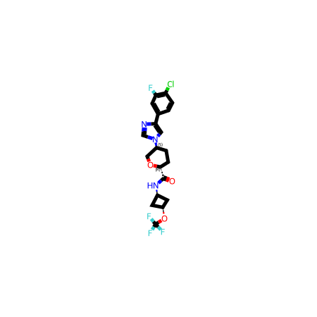 O=C(N[C@H]1C[C@@H](OC(F)(F)F)C1)[C@H]1CC[C@H](n2cnc(-c3ccc(Cl)c(F)c3)c2)CO1